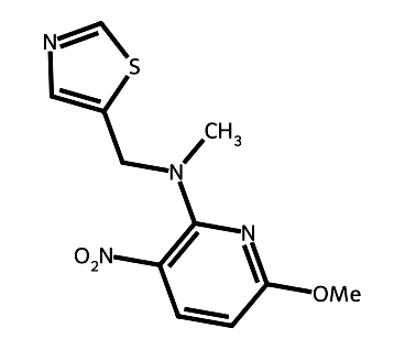 COc1ccc([N+](=O)[O-])c(N(C)Cc2cncs2)n1